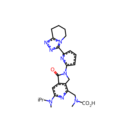 CC(C)N(C)c1cc2c(c(CN(C)C(=O)O)n1)CN(c1cccc(-c3nnc4n3CCCC4)n1)C2=O